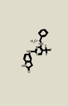 C[C@@H](Nc1nc(Nc2ccc3c(c2)CC(=O)N3)ncc1C(F)(F)F)c1ccccc1